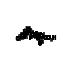 O=C(O)c1ccc2nc(Cc3c(F)cc(-c4cccc5c4OC(c4ccc(Cl)cc4F)O5)cc3F)n(C[C@@H]3CCO3)c2c1